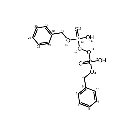 O=P(O)(OCc1ccccc1)OOP(O)(=S)OCc1ccccc1